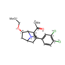 COCO[C@@H]1CC2CC(c3ccc(Cl)c(Cl)c3)=C(C(=O)OC)C1N2C